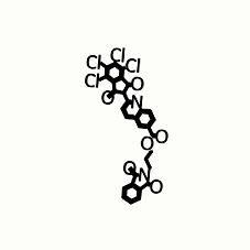 O=C(OCCCN1C(=O)c2ccccc2C1=O)c1ccc2nc(C3C(=O)c4c(Cl)c(Cl)c(Cl)c(Cl)c4C3=O)ccc2c1